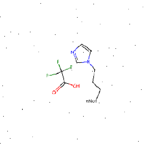 CCCCCCCCCCCCn1ccnc1.O=C(O)C(F)(F)F